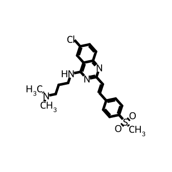 CN(C)CCCNc1nc(C=Cc2ccc(S(C)(=O)=O)cc2)nc2ccc(Cl)cc12